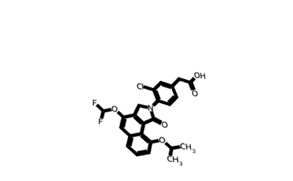 CC(C)Oc1cccc2cc(OC(F)F)c3c(c12)C(=O)N(c1ccc(CC(=O)O)cc1Cl)C3